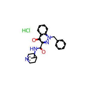 Cl.O=C(NC1CN2CCC1CC2)c1nn(Cc2ccccc2)c2ccccc2c1=O